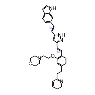 C1=CC(CCc2ccc(/C=C/c3cc(/C=C/c4ccc5cc[nH]c5c4)[nH]n3)c(OCCN3CCOCC3)c2)=NCC1